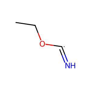 CCO[C]=N